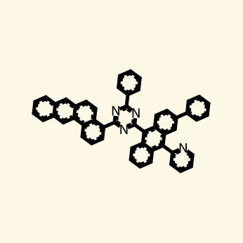 c1ccc(-c2ccc3c(-c4nc(-c5ccccc5)nc(-c5cccc6c5ccc5cc7ccccc7cc56)n4)c4ccccc4c(-c4ccccn4)c3c2)cc1